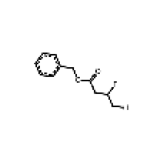 O=C(CC(F)CCl)OCc1ccccc1